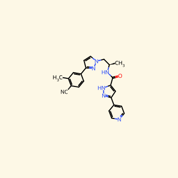 Cc1cc(-c2ccn(C[C@@H](C)NC(=O)c3cc(-c4ccncc4)n[nH]3)n2)ccc1C#N